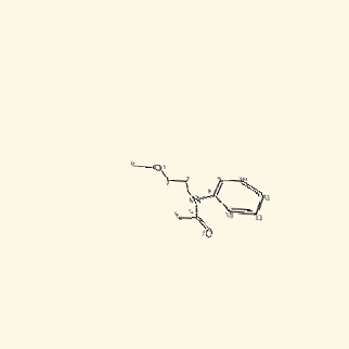 COCCN(C(C)=O)c1ccccc1